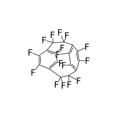 Fc1c(F)c2c(F)c(F)c1C(F)(F)C(F)(F)c1c(F)c(F)c(c(F)c1F)C(F)(F)C2(F)F